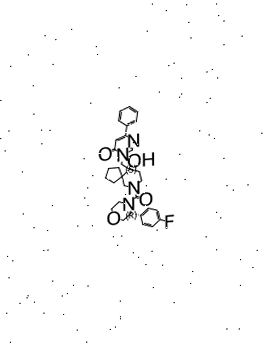 O=C(N1CC[C@@](O)(Cn2cnc(-c3ccccc3)cc2=O)C2(CCCC2)C1)N1CCOC[C@H]1c1ccc(F)cc1